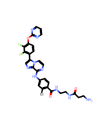 CCc1cc(Nc2nccn3c(-c4ccc(Oc5ncccn5)c(F)c4F)cnc23)ccc1C(=O)NCCNC(=O)CCN